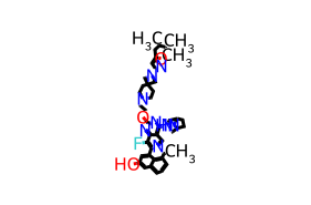 CCc1cccc2cc(O)cc(-c3ncc4c(N5CC6CCC(C5)N6)nc(OCCN5CCC6(CC5)CN(c5cc(CC(C)C(C)C)on5)C6)nc4c3F)c12